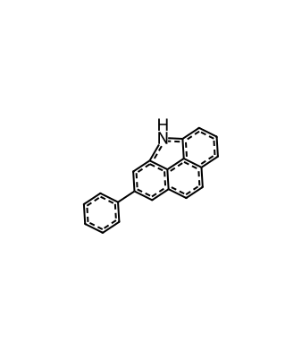 c1ccc(-c2cc3ccc4cccc5[nH]c(c2)c3c45)cc1